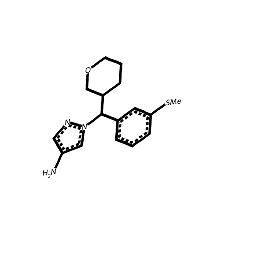 CSc1cccc(C(C2CCCOC2)n2cc(N)cn2)c1